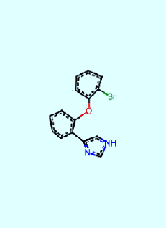 Brc1ccc[c]c1Oc1ccccc1-c1c[nH]cn1